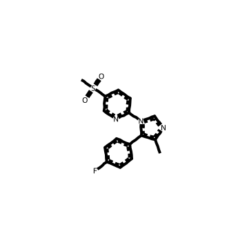 Cc1ncn(-c2ccc(S(C)(=O)=O)cn2)c1-c1ccc(F)cc1